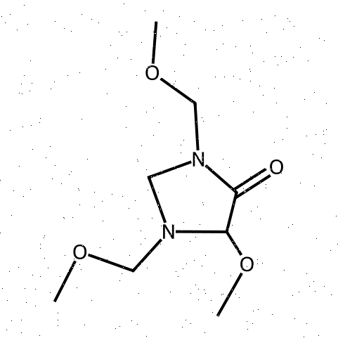 COCN1CN(COC)C(OC)C1=O